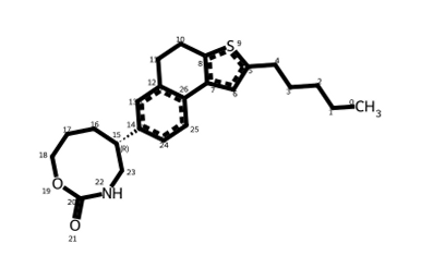 CCCCCc1cc2c(s1)CCc1cc([C@H]3CCCOC(=O)NC3)ccc1-2